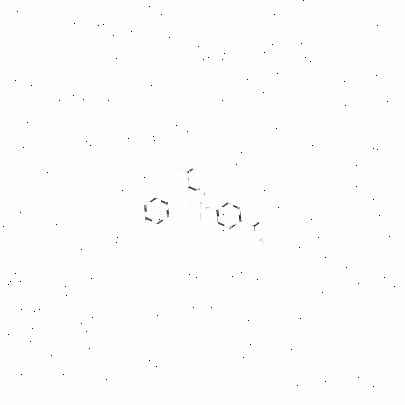 CC(=O)/C(=N/Nc1ccc(C(=O)O)cc1)S(=O)(=O)c1ccc(C)cc1